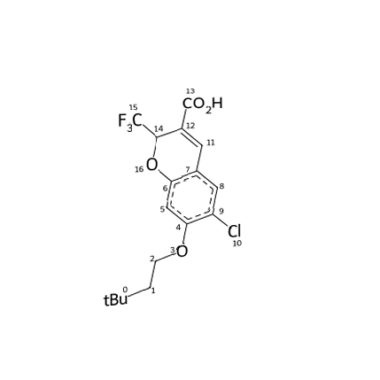 CC(C)(C)CCOc1cc2c(cc1Cl)C=C(C(=O)O)C(C(F)(F)F)O2